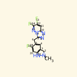 CN1Cc2cc(Cc3nnc4cc(F)c(F)nn34)c(F)cc2N1